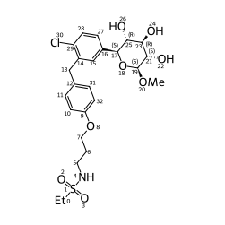 CCS(=O)(=O)NCCCOc1ccc(Cc2cc([C@@H]3O[C@H](OC)[C@@H](O)[C@H](O)[C@H]3O)ccc2Cl)cc1